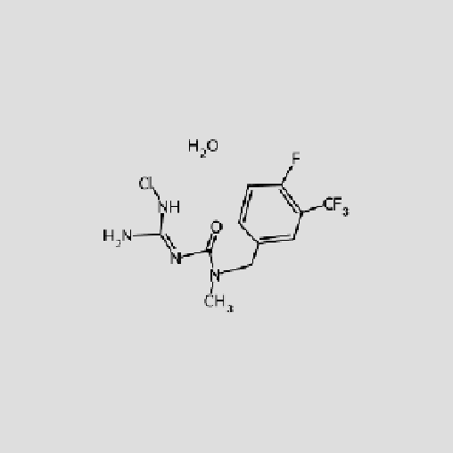 CN(Cc1ccc(F)c(C(F)(F)F)c1)C(=O)N=C(N)NCl.O